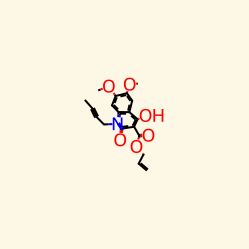 C=CCOC(=O)c1c(O)c2cc(OC)c(OC)cc2n(CC#CC)c1=O